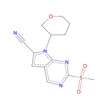 CS(=O)(=O)c1ncc2cc(C#N)n(C3CCCOC3)c2n1